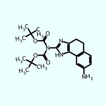 CC(C)(C)OC(=O)N(C(=O)OC(C)(C)C)c1nc2c([nH]1)-c1cc(N)ccc1CC2